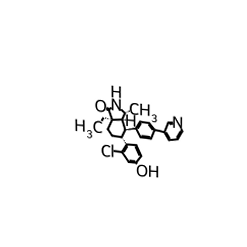 CC[C@@]12CC[C@@H](c3ccc(O)cc3Cl)[C@H](c3ccc(-c4cccnc4)cc3)[C@@H]1[C@@H](C)NC2=O